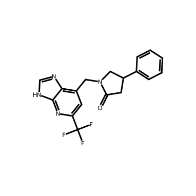 O=C1CC(c2ccccc2)CN1Cc1cc(C(F)(F)F)nc2[nH]cnc12